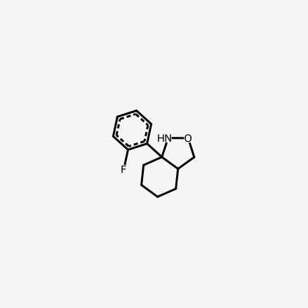 Fc1ccccc1C12CCCCC1CON2